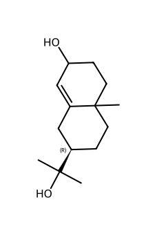 CC12CCC(O)C=C1C[C@H](C(C)(C)O)CC2